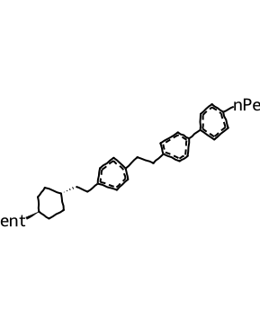 CCCCCc1ccc(-c2ccc(CCc3ccc(CC[C@H]4CC[C@H](CCCCC)CC4)cc3)cc2)cc1